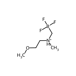 COCC[NH+](C)C[B-](F)(F)F